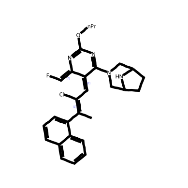 CCCOc1nc(N2CC3CCC(C2)N3)c(=C/C(Cl)=C(\C)c2cccc3ccccc23)/c(=C/F)n1